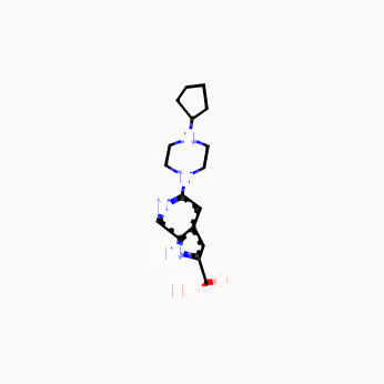 O=C(O)c1cc2cc(N3CCN(C4CCCC4)CC3)ncc2[nH]1